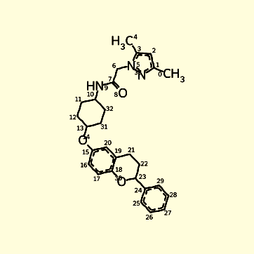 Cc1cc(C)n(CC(=O)NC2CCC(Oc3ccc4c(c3)CCC(c3ccccc3)O4)CC2)n1